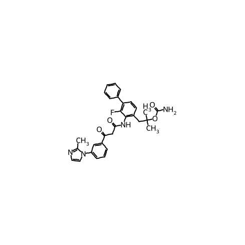 Cc1nccn1-c1cccc(C(=O)CC(=O)Nc2c(CC(C)(C)OC(N)=O)ccc(-c3ccccc3)c2F)c1